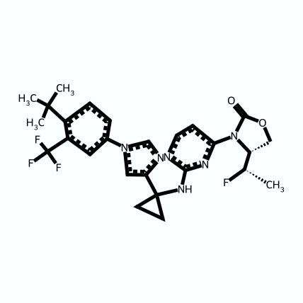 C[C@H](F)[C@H]1COC(=O)N1c1ccnc(NC2(c3cn(-c4ccc(C(C)(C)C)c(C(F)(F)F)c4)cn3)CC2)n1